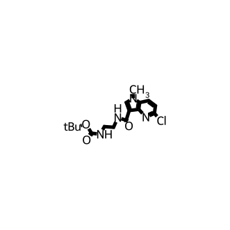 Cn1cc(C(=O)NCCNC(=O)OC(C)(C)C)c2nc(Cl)ccc21